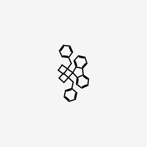 c1ccc(CC2(C3(C4(Cc5ccccc5)CCC4)c4ccccc4-c4ccccc43)CCC2)cc1